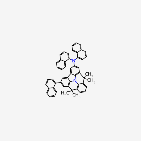 CC1(C)c2cccc3c2-n2c4c1cc(-c1cccc5ccccc15)cc4c1cc(N(c4cccc5ccccc45)c4cccc5ccccc45)cc(c12)C3(C)C